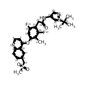 Cc1c(Oc2ccnc3ccc(CS(C)(=O)=O)cc23)cc(F)c(CC(=O)Nc2cnn(C(C)(C)C)c2)c1F